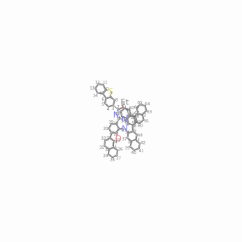 CCC1=C(c2ccc3c(c2)sc2ccccc23)N=C(c2ccc3c(oc4c5ccccc5ccc34)c2-n2c3cc4ccccc4cc3c3ccc4ccccc4c32)N=C(c2cccc3ccccc23)C1